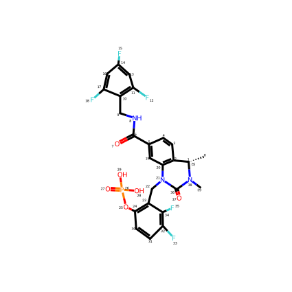 C[C@H]1c2ccc(C(=O)NCc3c(F)cc(F)cc3F)cc2N(Cc2c(OP(=O)(O)O)ccc(F)c2F)C(=O)N1C